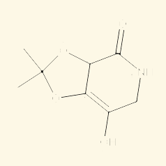 CC1(C)OC2=C(O)CNC(=O)C2O1